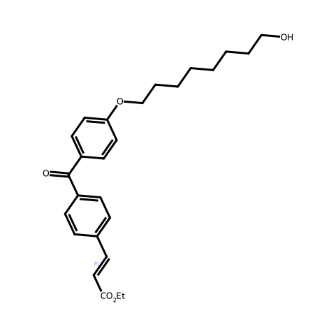 CCOC(=O)/C=C/c1ccc(C(=O)c2ccc(OCCCCCCCCO)cc2)cc1